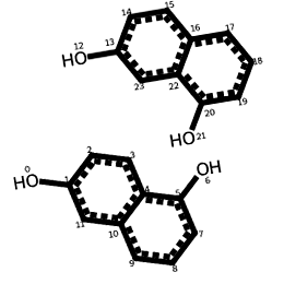 Oc1ccc2c(O)cccc2c1.Oc1ccc2cccc(O)c2c1